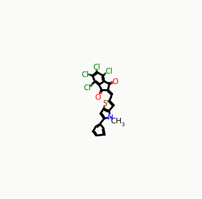 Cn1c(-c2ccccc2)cc2sc(C=C3C(=O)c4c(Cl)c(Cl)c(Cl)c(Cl)c4C3=O)cc21